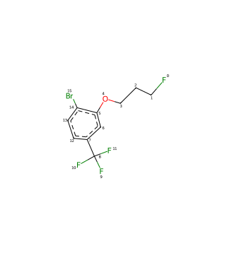 FCCCOc1cc(C(F)(F)F)ccc1Br